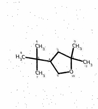 CC1(C)CC(C(C)(C)C)CO1